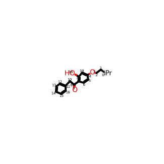 CC(C)CCOc1ccc(C(=O)Cc2ccccc2)c(O)c1